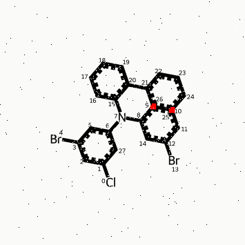 Clc1cc(Br)cc(N(c2cccc(Br)c2)c2ccccc2-c2ccccc2)c1